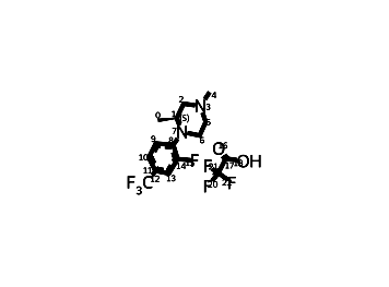 C[C@H]1CN(C)CCN1c1ccc(C(F)(F)F)cc1F.O=C(O)C(F)(F)F